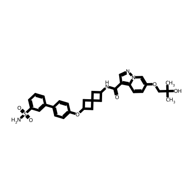 CC(C)(O)COc1ccc2c(C(=O)NC3CC4(C3)CC(Oc3ccc(-c5cccc(S(N)(=O)=O)c5)cc3)C4)cnn2c1